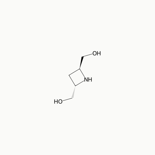 OC[C@@H]1C[C@@H](CO)N1